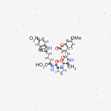 COc1ccc2c(CC(=O)N[C@@H](C)C(=O)N3CCC[C@H]3C(=O)N[C@@H](CCCCNc3ccc([N+](=O)[O-])cc3[N+](=O)[O-])C(=O)O)cc(=O)oc2c1